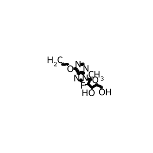 C=CCOc1ncnc2c1ncn2[C@@]1(C)OC(CO)[C@@H](O)[C@H]1F